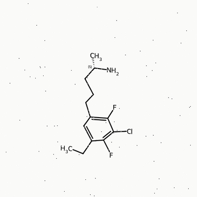 CCc1cc(CCC[C@H](C)N)c(F)c(Cl)c1F